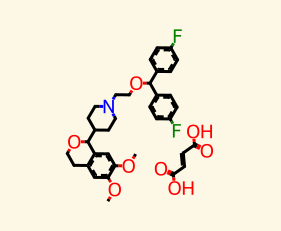 COc1cc2c(cc1OC)C(C1CCN(CCOC(c3ccc(F)cc3)c3ccc(F)cc3)CC1)OCC2.O=C(O)C=CC(=O)O